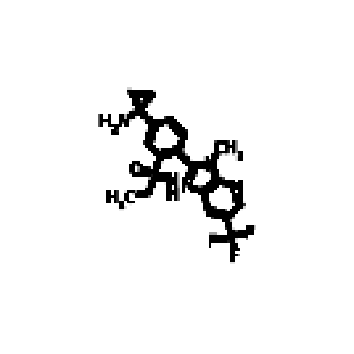 CCS(=N)(=O)c1cc(C2(N)CC2)ccc1-c1nc2cc(C(F)(F)F)cnc2n1C